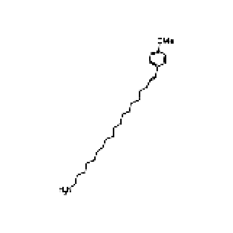 COc1ccc(C=CCCCCCCCCCCCCCCCCCN)cc1